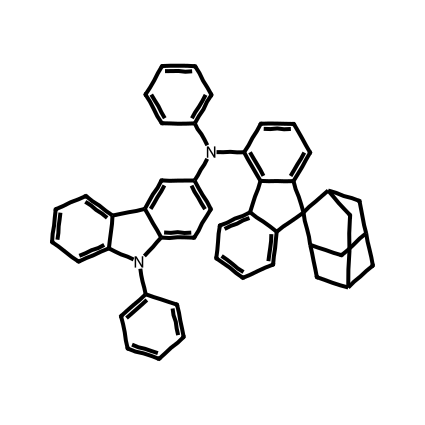 c1ccc(N(c2ccc3c(c2)c2ccccc2n3-c2ccccc2)c2cccc3c2-c2ccccc2C32C3CC4CC(C3)CC2C4)cc1